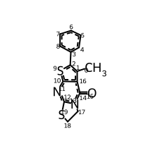 Cc1c(-c2ccccc2)sc2nc3n(c(=O)c12)CCS3